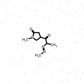 CN=NC(C)C(=O)C1CC(=O)N(C)C1